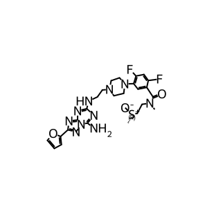 CN(CC[S@+](C)[O-])C(=O)c1cc(N2CCN(CCNc3nc(N)n4nc(-c5ccco5)nc4n3)CC2)c(F)cc1F